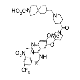 COc1cc2nc(C)nc(N[C@H](C)c3cc([N+](=O)[O-])cc(C(F)(F)F)c3)c2cc1OC1CCN(C(=O)C2CCN(CC3CCC4(CC3)CCN(C(=O)O)CC4)CC2)CC1